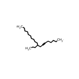 [CH2]CCCCC#CCC(CCC)CCCCCCCCC[CH2]